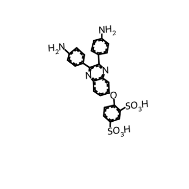 Nc1ccc(-c2nc3ccc(Oc4ccc(S(=O)(=O)O)cc4S(=O)(=O)O)cc3nc2-c2ccc(N)cc2)cc1